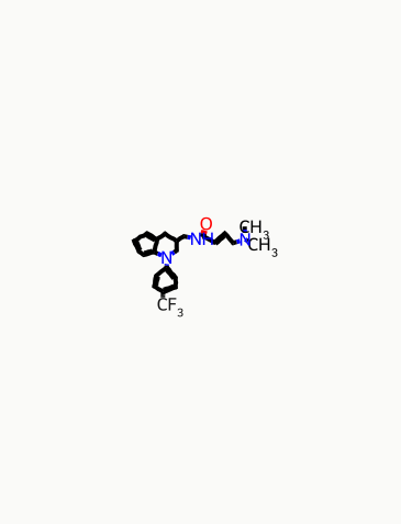 CN(C)C/C=C/C(=O)NCC1Cc2ccccc2N(c2ccc(C(F)(F)F)cc2)C1